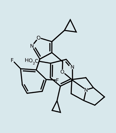 O=C(O)c1cnc(N2C3CCC2CC(OCc2c(-c4c(F)cccc4F)noc2C2CC2)C3)c(C2CC2)c1